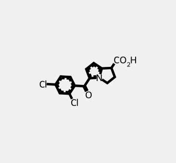 O=C(c1ccc(Cl)cc1Cl)c1ccc2n1CCC2C(=O)O